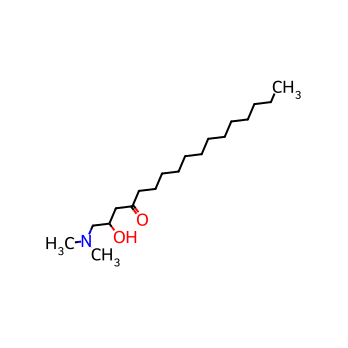 CCCCCCCCCCCCCC(=O)CC(O)CN(C)C